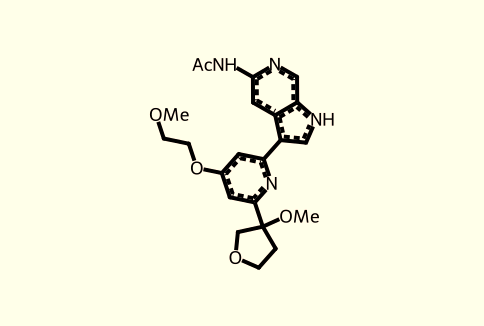 COCCOc1cc(-c2c[nH]c3cnc(NC(C)=O)cc23)nc(C2(OC)CCOC2)c1